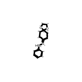 c1ccc(NN=C2CCC3(CC2)OCCO3)cc1